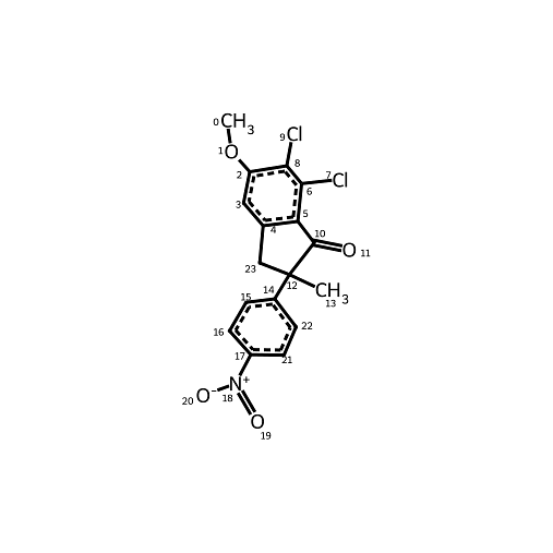 COc1cc2c(c(Cl)c1Cl)C(=O)C(C)(c1ccc([N+](=O)[O-])cc1)C2